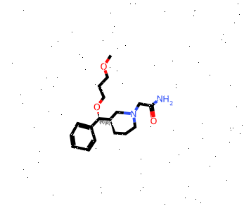 COCCCO[C@@H](c1ccccc1)[C@@H]1CCCN(CC(N)=O)C1